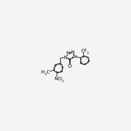 Cc1cc(Cn2nnn(-c3ccccc3C(F)(F)F)c2=O)ccc1[N+](=O)[O-]